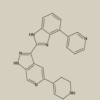 C1=C(c2cc3c(-c4nc5c(-c6cccnc6)cccc5[nH]4)n[nH]c3cn2)CCNC1